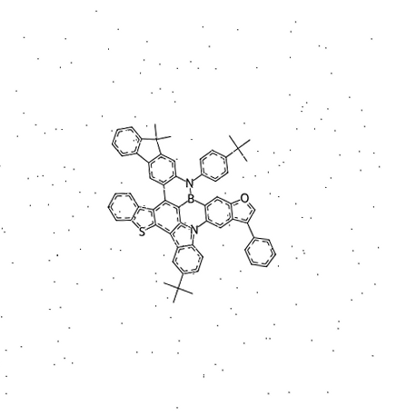 CC(C)(C)c1ccc(N2B3c4cc5occ(-c6ccccc6)c5cc4-n4c5ccc(C(C)(C)C)cc5c5c6sc7ccccc7c6c(c3c54)-c3cc4c(cc32)C(C)(C)c2ccccc2-4)cc1